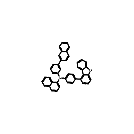 c1cc(-c2ccc3ccccc3c2)cc(N(c2ccc(-c3cccc4oc5ccccc5c34)cc2)c2cccc3ccccc23)c1